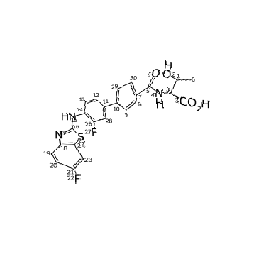 CC(O)[C@H](NC(=O)c1ccc(-c2ccc(Nc3nc4ccc(F)cc4s3)c(F)c2)cc1)C(=O)O